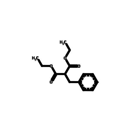 CCOC(=O)C(Cc1cc[c]cc1)C(=O)OCC